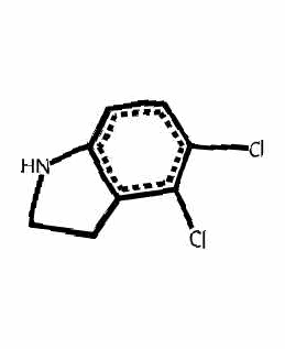 Clc1ccc2c(c1Cl)CCN2